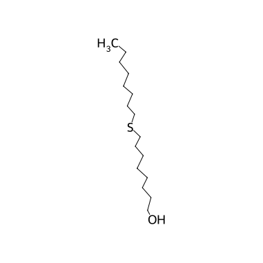 CCCCCCCCSCCCCCCCCO